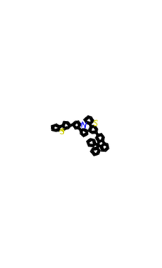 c1ccc(C2(c3ccccc3)c3ccccc3-c3ccc(-c4ccc5c(c4)sc4cccc(-n6c7ccccc7c7cc(-c8ccc9c(c8)sc8ccccc89)ccc76)c45)cc32)cc1